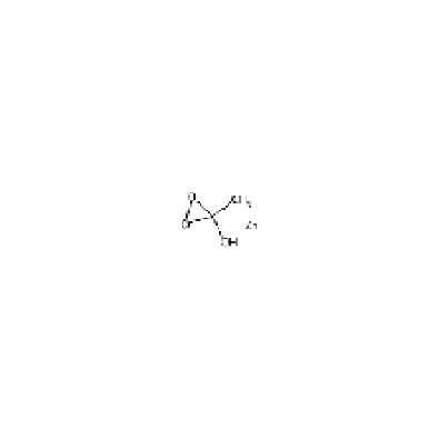 CC1(O)OO1.[Zn]